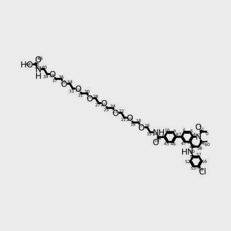 CC(=O)N1c2ccc(-c3ccc(C(=O)NCCOCCOCCOCCOCCOCCOCCOCCOCCNC(=O)O)cc3)cc2[C@H](Nc2ccc(Cl)cc2)C[C@@H]1C